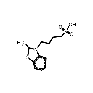 CC1Sc2ccccc2N1CCCCS(=O)(=O)O